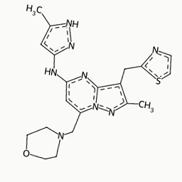 Cc1cc(Nc2cc(CN3CCOCC3)n3nc(C)c(Cc4nccs4)c3n2)n[nH]1